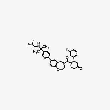 CC(C)(NCC(F)F)c1ccc(-c2ccc3c(c2)CN(C(=O)N2CCC(=O)CC2c2cccc(F)c2)CCO3)cc1